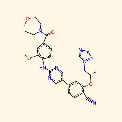 COc1cc(C(=O)N2CCCOCC2)ccc1Nc1ncc(-c2ccc(C#N)c(O[C@@H](C)Cn3cncn3)c2)cn1